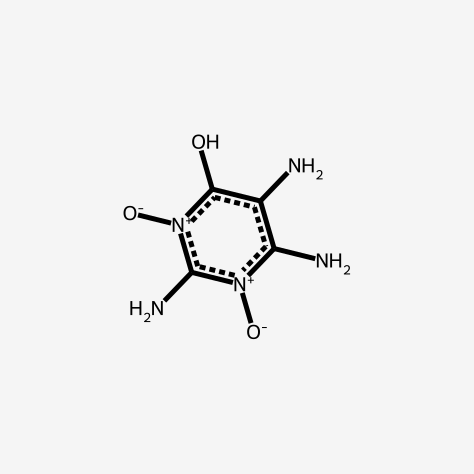 Nc1c(N)[n+]([O-])c(N)[n+]([O-])c1O